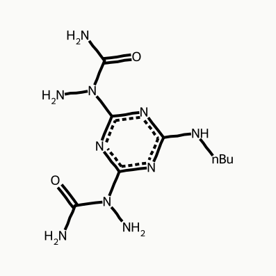 CCCCNc1nc(N(N)C(N)=O)nc(N(N)C(N)=O)n1